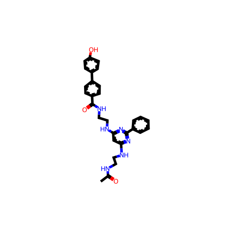 CC(=O)NCCNc1cc(NCCNC(=O)c2ccc(-c3ccc(O)cc3)cc2)nc(-c2ccccc2)n1